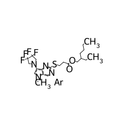 CCCCC(CC)COC(=O)CCSc1ncc2c(n1)c(N1CC(F)(F)C(F)(F)C1)cn2C.[Ar]